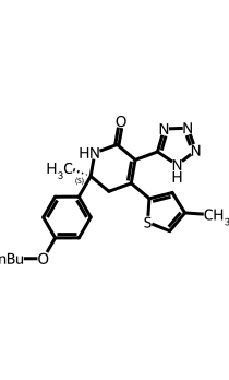 CCCCOc1ccc([C@]2(C)CC(c3cc(C)cs3)=C(c3nnn[nH]3)C(=O)N2)cc1